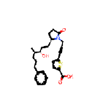 CC(CCCc1ccccc1)[C@@H](O)C=C[C@H]1CCC(=O)N1CC#Cc1ccc(C(=O)O)s1